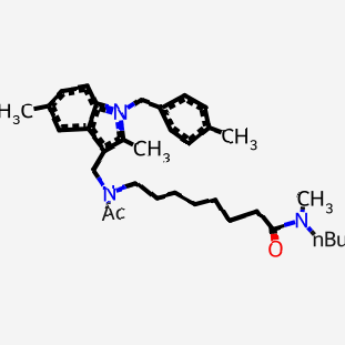 CCCCN(C)C(=O)CCCCCCCN(Cc1c(C)n(Cc2ccc(C)cc2)c2ccc(C)cc12)C(C)=O